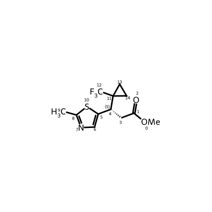 COC(=O)C[C@H](c1cnc(C)s1)C1(C(F)(F)F)CC1